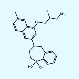 Cc1ccc2nc(N3CCS(O)(O)c4ccccc4C3)nc(NCC(F)CN)c2c1